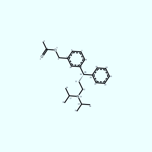 CC(=O)OCc1cc[c]c([C@@H](CCN(C(C)C)C(C)C)c2ccccc2)c1